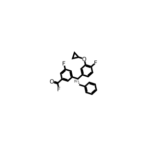 O=C(F)c1cc(F)cc([C@@H](Cc2ccccc2)c2ccc(F)c(OC3CC3)c2)c1